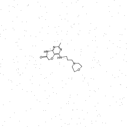 Cc1nc(NCCCN2CCOCC2)c2c(n1)NC(=O)CO2